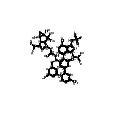 CS(=O)(=O)Nc1nn(CC(F)F)c2c(-n3c([C@H](Cc4cc(F)cc(F)c4)NC(=O)Cn4nc(C(F)F)c5c4C(F)(F)[C@@H]4C[C@H]54)nc(-c4nccc(C(F)(F)F)n4)cc3=O)ccc(Cl)c12